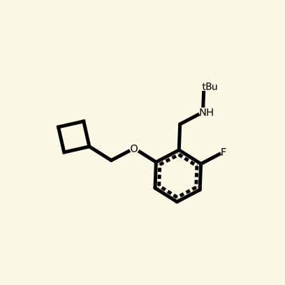 CC(C)(C)NCc1c(F)cccc1OCC1CCC1